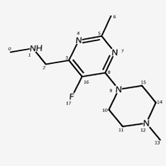 CNCc1nc(C)nc(N2CCN(C)CC2)c1F